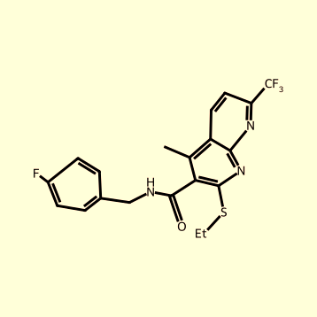 CCSc1nc2nc(C(F)(F)F)ccc2c(C)c1C(=O)NCc1ccc(F)cc1